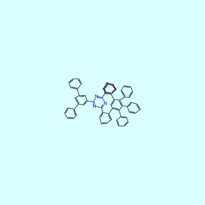 c1ccc(-c2cc(-c3ccccc3)cc(-c3nc(-c4ccccc4)nc(-c4ccccc4-c4cc(-c5ccccc5)c(-c5ccccc5)c(-c5ccccc5)c4-c4ccccc4)n3)c2)cc1